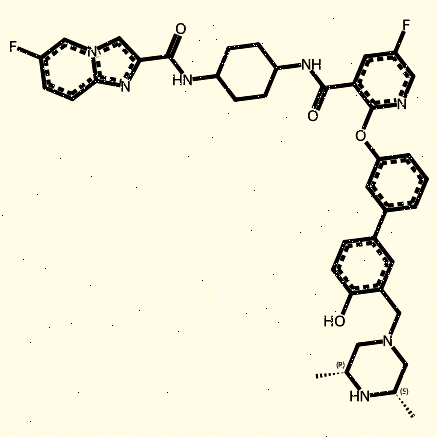 C[C@@H]1CN(Cc2cc(-c3cccc(Oc4ncc(F)cc4C(=O)NC4CCC(NC(=O)c5cn6cc(F)ccc6n5)CC4)c3)ccc2O)C[C@H](C)N1